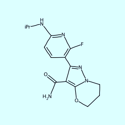 CC(C)Nc1ccc(-c2nn3c(c2C(N)=O)OCCC3)c(F)n1